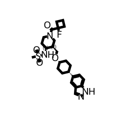 CS(=O)(=O)N[C@H]1CCN(C(=O)C2(F)CCC2)C[C@H]1CO[C@H]1CC[C@@H](c2ccc3[nH]ncc3c2)CC1